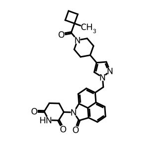 CC1(C(=O)N2CCC(c3cnn(Cc4ccc5c6c(cccc46)C(=O)N5C4CCC(=O)NC4=O)c3)CC2)CCC1